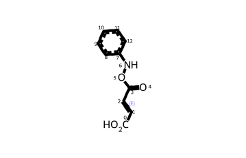 O=C(O)/C=C/C(=O)ONc1ccccc1